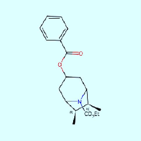 CCOC(=O)N1C2CC(OC(=O)c3ccccc3)CC1[C@H](C)[C@@H]2C